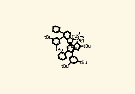 C[SiH](C)[Zr]([Cl])([Cl])([CH]1C(C(C)(C)C)=Cc2c1ccc(-c1ccccc1)c2-c1cc(C(C)(C)C)cc(C(C)(C)C)c1)[CH]1C(C(C)(C)C)=Cc2c1ccc(-c1ccccc1)c2-c1cc(C(C)(C)C)cc(C(C)(C)C)c1